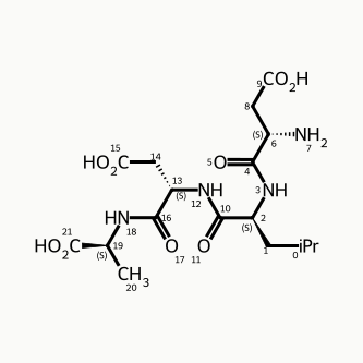 CC(C)C[C@H](NC(=O)[C@@H](N)CC(=O)O)C(=O)N[C@@H](CC(=O)O)C(=O)N[C@@H](C)C(=O)O